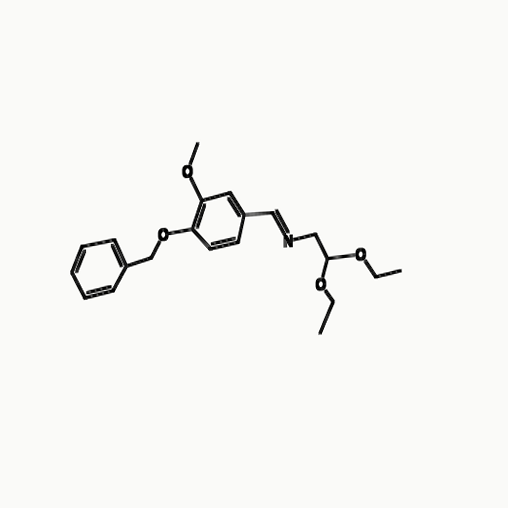 CCOC(CN=Cc1ccc(OCc2ccccc2)c(OC)c1)OCC